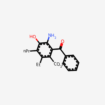 CCCc1c(O)c(N)c(C(=O)c2ccccc2)c(C(=O)O)c1CC